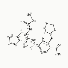 CCCC(=O)C(O)[C@H](CC1CCCCC1)NC(=O)[C@H](CC(C)C)NC(=O)[C@H](Cc1ccccc1)NC(=O)OC(C)(C)C